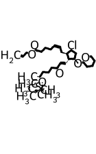 C=CCOC(=O)CCC/C=C\C[C@@H]1[C@@H](/C=C/C(=O)CCC[C@@H](C)O[Si](C)(C)C(C)(C)C)[C@H](OC2CCCCO2)C[C@H]1Cl